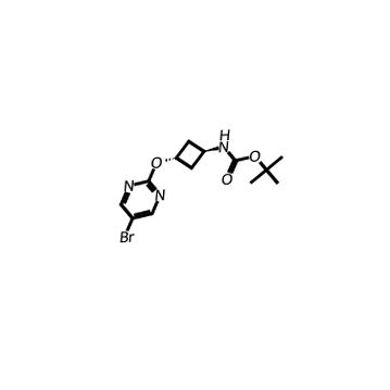 CC(C)(C)OC(=O)N[C@H]1C[C@H](Oc2ncc(Br)cn2)C1